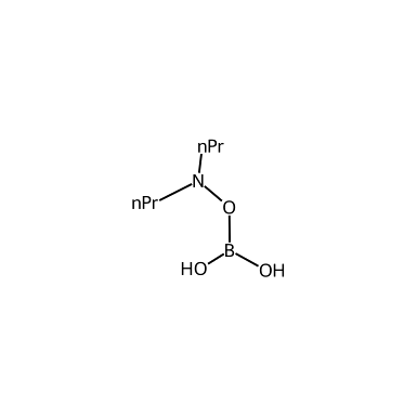 CCCN(CCC)OB(O)O